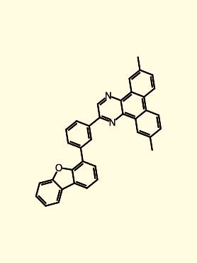 Cc1ccc2c3ccc(C)cc3c3nc(-c4cccc(-c5cccc6c5oc5ccccc56)c4)cnc3c2c1